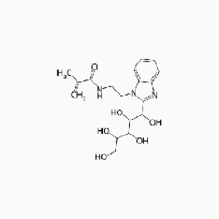 C=C(C)C(=O)NCCn1c(C(O)C(O)C(O)C(O)CO)nc2ccccc21